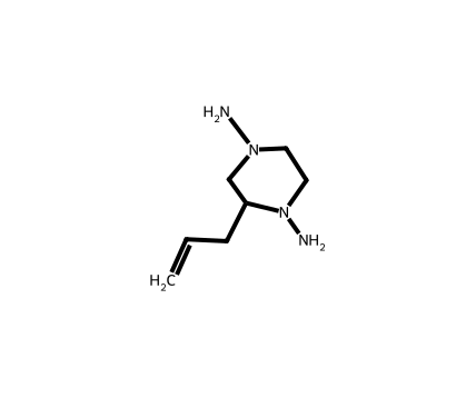 C=CCC1CN(N)CCN1N